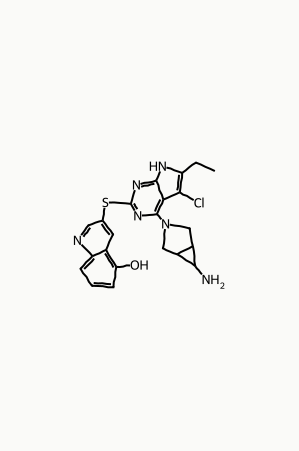 CCc1[nH]c2nc(Sc3cnc4cccc(O)c4c3)nc(N3CC4C(N)C4C3)c2c1Cl